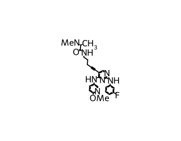 CN[C@@H](C)C(=O)NCCCC#Cc1cnc(Nc2cccc(F)c2)nc1Nc1ccc(OC)nc1